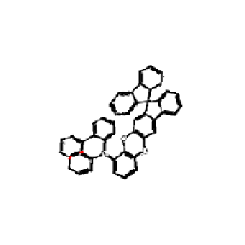 C1=CCC2C(=C1)c1ccccc1C21c2ccccc2-c2cc3c(cc21)Oc1c(cccc1N(C1=CCCC=C1)c1ccccc1-c1ccccc1)O3